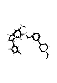 CCN1CCC(c2cccc(COc3nn4c(-c5cc(C)on5)nnc4cc3OC)n2)CC1